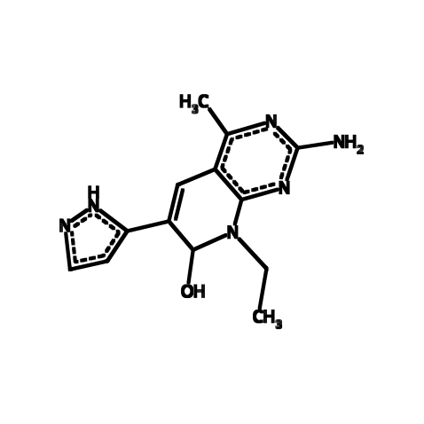 CCN1c2nc(N)nc(C)c2C=C(c2ccn[nH]2)C1O